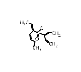 C=C/C=C\C(=C/C)S(=O)(=O)/C(C=C)=C/C